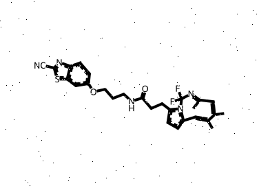 CC1=C/C(C)=N/C(F)(F)n2c(ccc2CCC(=O)NCCCOc2ccc3nc(C#N)sc3c2)\C=C\1C